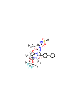 C=C[C@@H]1C[C@@]1(NC(=O)[C@@H]1C[C@@](OC)(c2ccc(-c3ccccc3)cc2)CN1C(=O)[C@@H](NC(=O)OC(C)(C)C(F)(F)F)C(C)(C)C)C(=O)NS(=O)(=O)C1CC1